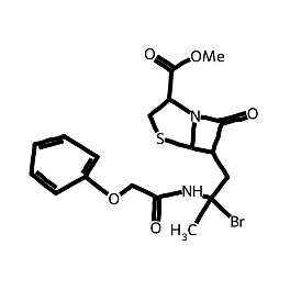 COC(=O)C1CSC2C(CC(C)(Br)NC(=O)COc3ccccc3)C(=O)N12